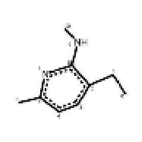 CCc1ccc(C)nc1NC